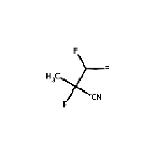 CC(F)(C#N)C(F)F